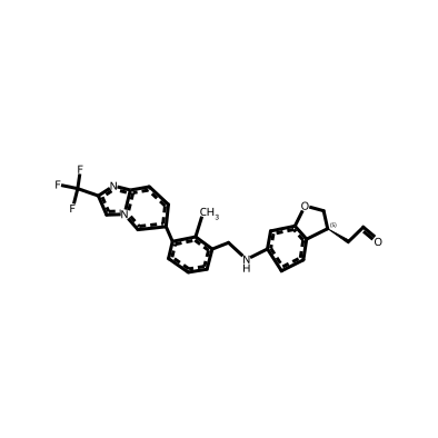 Cc1c(CNc2ccc3c(c2)OC[C@H]3CC=O)cccc1-c1ccc2nc(C(F)(F)F)cn2c1